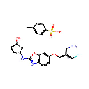 Cc1ccc(S(=O)(=O)O)cc1.NC/C(=C\F)COc1ccc2nc(NC3CCC(O)C3)oc2c1